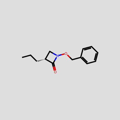 CCC[C@@H]1CN(OCc2ccccc2)C1=O